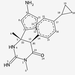 CN1C(=N)N[C@](C)(c2cc(N)cs2)[C@@H](c2ccc(C3CC3)cc2)C1=O